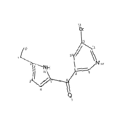 CCc1ccc(C(=O)c2cncc(Br)c2)[nH]1